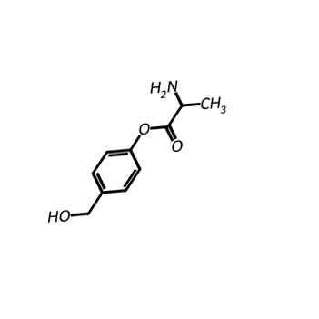 CC(N)C(=O)Oc1ccc(CO)cc1